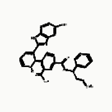 CCC[C@@H](NC(=O)c1ccc(C2C(c3nc4cc(O)ccc4[nH]3)=CC=C[C@@H]2Cl)c(C(=O)O)c1)c1ccccc1